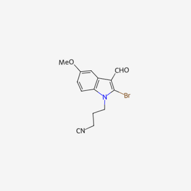 [C-]#[N+]CCCn1c(Br)c(C=O)c2cc(OC)ccc21